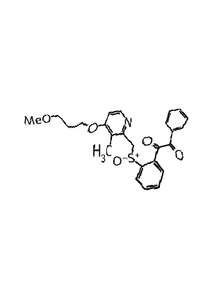 COCCCOc1ccnc(C[S+]([O-])c2ccccc2C(=O)C(=O)c2ccccc2)c1C